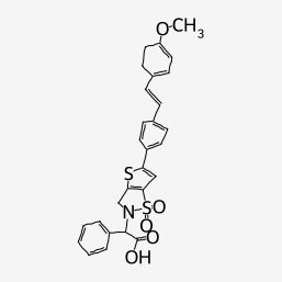 COC1=CC=C(/C=C/c2ccc(-c3cc4c(s3)CN(C(C(=O)O)c3ccccc3)S4(=O)=O)cc2)CC1